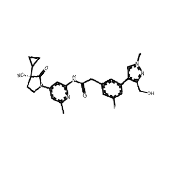 Cc1cc(N2CC[C@@](C#N)(C3CC3)C2=O)cc(NC(=O)Cc2cc(F)cc(-c3cn(C)nc3CO)c2)n1